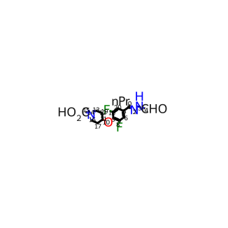 CCC/C(=N\NC=O)c1cc(F)c(OC2CCN(C(=O)O)CC2)c(F)c1